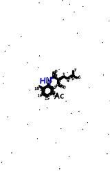 C=C/C(=C\C=C(C)C)C(=C)Nc1cc(C(C)=O)ccc1C